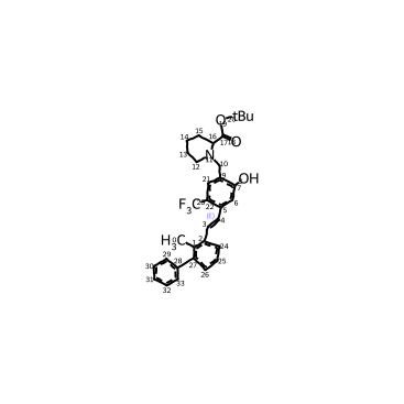 Cc1c(/C=C/c2cc(O)c(CN3CCCCC3C(=O)OC(C)(C)C)cc2C(F)(F)F)cccc1-c1ccccc1